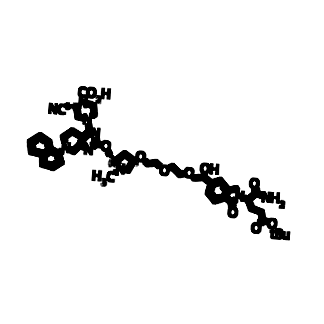 CN1C[C@H](OCCOCCOCC(O)c2ccc3c(c2)CN(C(CCC(=O)OC(C)(C)C)C(N)=O)C3=O)C[C@H]1COc1nc2c(c(N3CCN(C(=O)O)[C@@H](CC#N)C3)n1)CCN(c1cccc3ccccc13)C2